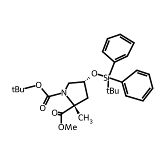 COC(=O)[C@@]1(C)C[C@@H](O[Si](c2ccccc2)(c2ccccc2)C(C)(C)C)CN1C(=O)OC(C)(C)C